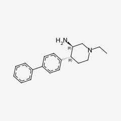 CCN1CC[C@H](c2ccc(-c3ccccc3)cc2)[C@@H](N)C1